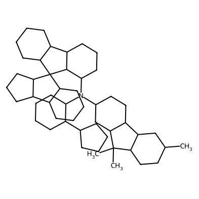 CC1CCC2C(C1)C1CCC(N(C3CCCCC3C3CCCC3)C3CCCC4C5CCCCC5C5(C6CCCCC6C6CCCC65)C43)CC1C2(C)C